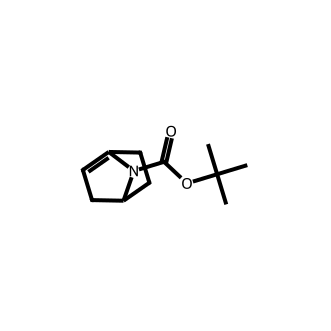 CC(C)(C)OC(=O)N1C2=CCC1CC2